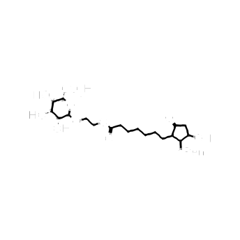 CCCCCC1C(O)CC(=O)C1CCCCCCC(=O)OCCOC1O[C@H](C(=O)O)[C@@H](O)[C@H](O)[C@H]1O